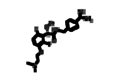 CCO[C@H](C(=O)NCc1ccc(C(=N)N)cc1)c1c(F)ccc(OCCN(C)C)c1F